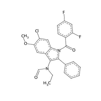 CCN(C=O)c1c(-c2ccccc2)n(C(=O)c2ccc(F)cc2F)c2cc(Cl)c(OC)cc12